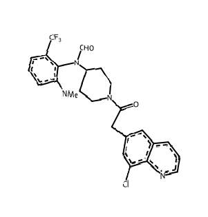 CNc1cccc(C(F)(F)F)c1N(C=O)C1CCN(C(=O)Cc2cc(Cl)c3ncccc3c2)CC1